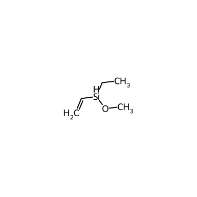 C=C[SiH](CC)OC